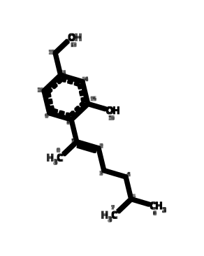 CC(=CCCC(C)C)c1ccc(CO)cc1O